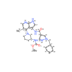 CC(C)(C)OC(=O)NC1CCCN(c2c(C#N)cnc3[nH]cc(NC(=O)c4cnn(Cc5ccccc5)c4)c23)C1